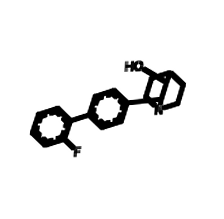 OC1C2CCN(CC2)C1c1ccc(-c2ccccc2F)cc1